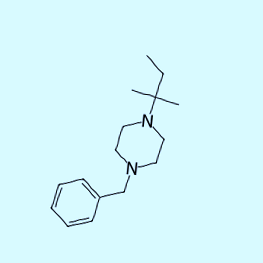 CCC(C)(C)N1CCN(Cc2ccccc2)CC1